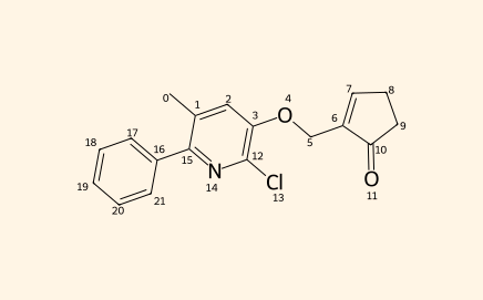 Cc1cc(OCC2=CCCC2=O)c(Cl)nc1-c1ccccc1